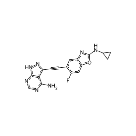 Nc1ncnc2[nH]nc(C#Cc3cc4nc(NC5CC5)oc4cc3F)c12